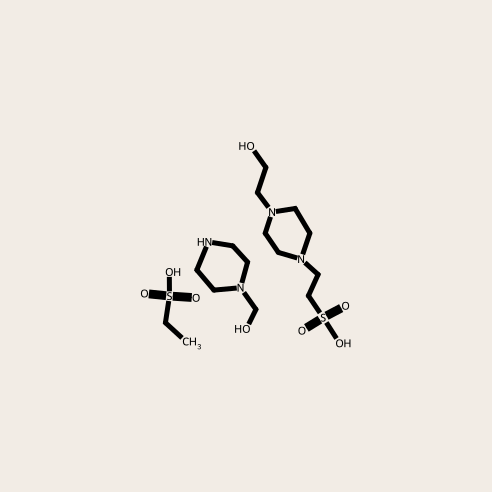 CCS(=O)(=O)O.O=S(=O)(O)CCN1CCN(CCO)CC1.OCN1CCNCC1